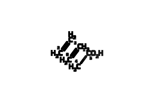 C=C.C=C.CC(=O)O